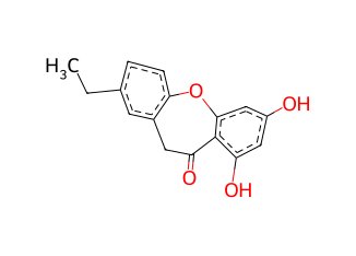 CCc1ccc2c(c1)CC(=O)c1c(O)cc(O)cc1O2